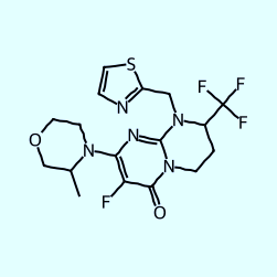 CC1COCCN1c1nc2n(c(=O)c1F)CCC(C(F)(F)F)N2Cc1nccs1